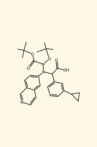 CC(C)(C)OC(=O)N(OC(C)(C)C)N(c1ccc2cnccc2c1)C(C(=O)O)c1cccc(C2CC2)c1